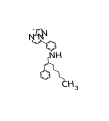 CCCCCC/C(=C\c1ccccc1)CNc1cccc(-c2ccnc3[c]cnn23)c1